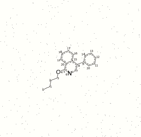 CCCCOc1ncc(-c2ccccc2)c2ccccc12